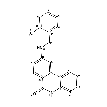 O=c1[nH]c2ncccc2c2cc(NCc3ccccc3C(F)(F)F)ccc12